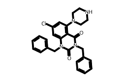 O=c1c2c(N3CCNCC3)cc(Cl)cc2n(Cc2ccccc2)c(=O)n1Cc1ccccc1